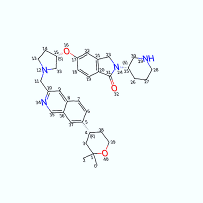 CC1(C)C[C@H](c2ccc3cc(CN4CC[C@H](Oc5ccc6c(c5)CN([C@H]5CCCNC5)C6=O)C4)ncc3c2)CCO1